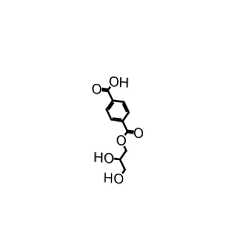 O=C(O)c1ccc(C(=O)OCC(O)CO)cc1